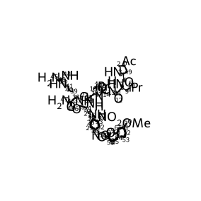 CC(=O)C1CN[C@H](C(=O)N[C@@H](CC(C)C)C(=O)NCC(=O)N[C@@H](CC(C)C)C(=O)N[C@@H](CNc2ccc([N+](=O)[O-])cc2[N+](=O)[O-])C(=O)N[C@@H](CCCNC(=N)N)C(N)=O)C1.COc1ccc2ccc(=O)oc2c1